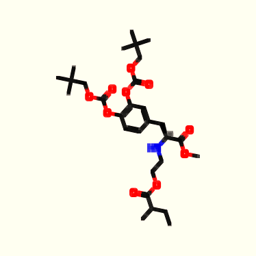 CCC(C)C(=O)OCCN[C@@H](Cc1ccc(OC(=O)OCC(C)(C)C)c(OC(=O)OCC(C)(C)C)c1)C(=O)OC